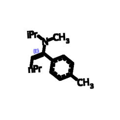 CCC/C=C(\c1ccc(C)cc1)N(C)C(C)C